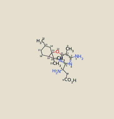 Cc1c(N)nc(C(N)CC(=O)O)nc1OC12CC(C)CCC1C2(C)C